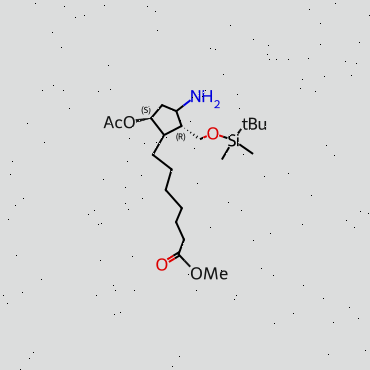 COC(=O)CCCCCCC1[C@@H](CO[Si](C)(C)C(C)(C)C)C(N)C[C@@H]1OC(C)=O